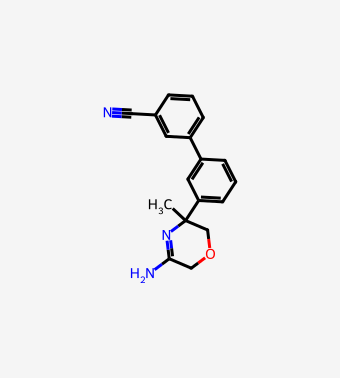 CC1(c2cccc(-c3cccc(C#N)c3)c2)COCC(N)=N1